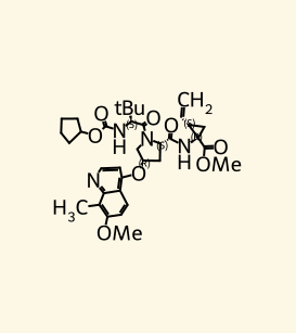 C=C[C@@H]1C[C@]1(NC(=O)[C@@H]1C[C@@H](Oc2ccnc3c(C)c(OC)ccc23)CN1C(=O)[C@@H](NC(=O)OC1CCCC1)C(C)(C)C)C(=O)OC